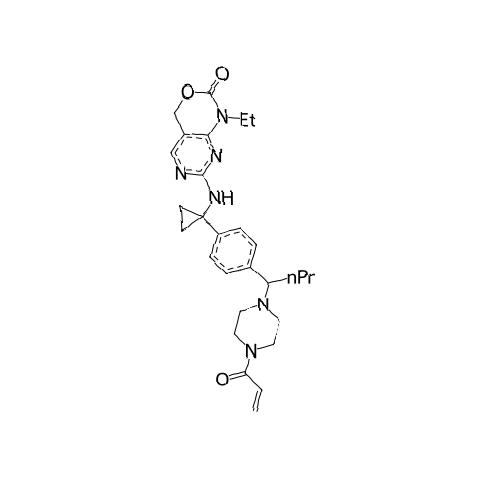 C=CC(=O)N1CCN(C(CCC)c2ccc(C3(Nc4ncc5c(n4)N(CC)C(=O)OC5)CC3)cc2)CC1